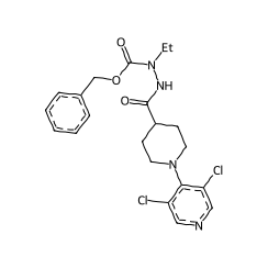 CCN(NC(=O)C1CCN(c2c(Cl)cncc2Cl)CC1)C(=O)OCc1ccccc1